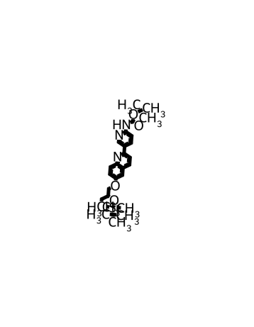 CCC(COc1ccc2nc(-c3ccc(NC(=O)OC(C)(C)C)nc3)ccc2c1)O[Si](C)(C)C(C)(C)C